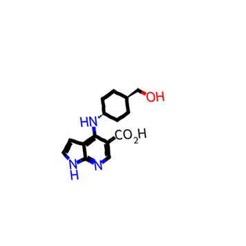 O=C(O)c1cnc2[nH]ccc2c1N[C@H]1CC[C@H](CO)CC1